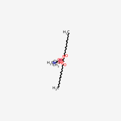 CCCCCCC=CCCCCCCCC(=O)OCC(COC(=O)CCCCCCCC=CCCCCCC)OP(=O)([O-])OCC[N+](C)(C)C